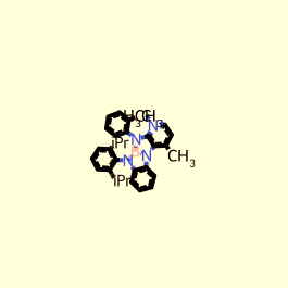 Cc1ccccc1N1B2N(c3c(C(C)C)cccc3C(C)C)c3ccccc3N2c2c(C)cc[n+](C)c21